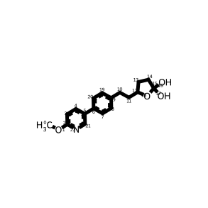 COc1ccc(-c2ccc(CCC3CCC(O)(O)O3)cc2)cn1